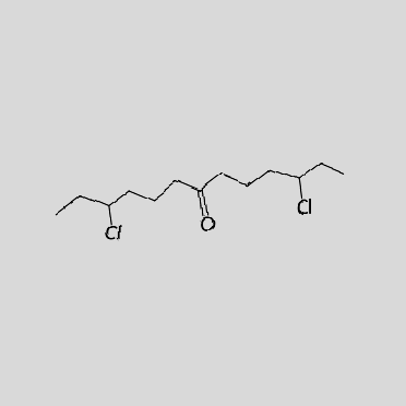 CCC(Cl)CCCC(=O)CCCC(Cl)CC